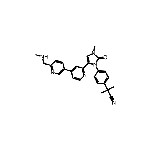 CNCc1ccc(-c2ccnc(-c3cn(C)c(=O)n3-c3ccc(C(C)(C)C#N)cc3)c2)cn1